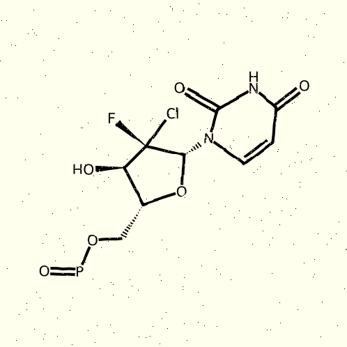 O=POC[C@H]1O[C@@H](n2ccc(=O)[nH]c2=O)[C@@](F)(Cl)[C@@H]1O